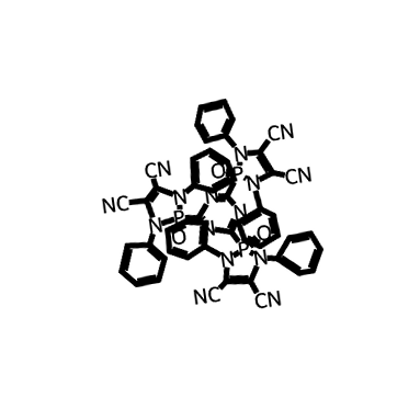 N#CC1=C(C#N)N(c2ccccc2)P(=O)(c2nc(P3(=O)N(c4ccccc4)C(C#N)=C(C#N)N3c3ccccc3)nc(P3(=O)N(c4ccccc4)C(C#N)=C(C#N)N3c3ccccc3)n2)N1c1ccccc1